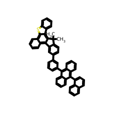 CC1(C)c2ccc(-c3cccc(-c4c5ccccc5c(-c5cccc6ccccc56)c5ccccc45)c3)cc2-c2c1c1c3ccccc3sc1c1ccccc21